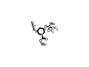 CC(C)(C)OC(=O)N1C[C@H](N=[N+]=[N-])C[C@H](O[Si](C)(C)C(C)(C)C)C1